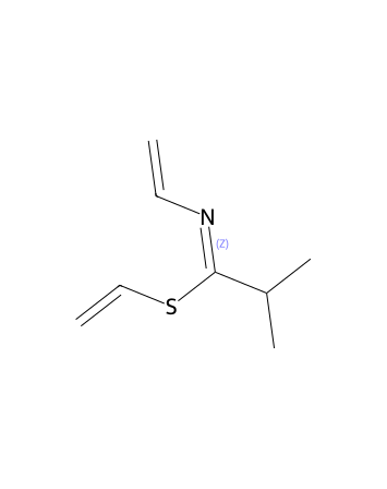 C=C/N=C(\SC=C)C(C)C